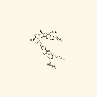 CCOCC(=O)NC(CCCCNN)C(=O)Nc1ccc(COC(=O)OC2(CC)C(=O)OCc3c2cc2n(c3=O)Cc3c-2nc2ccc(OC)cc2c3CC)cc1